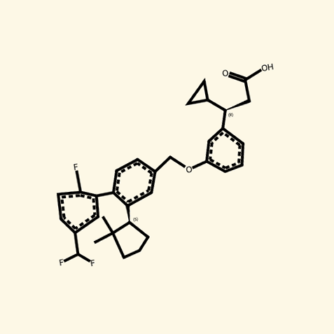 CC1(C)CCC[C@@H]1c1cc(COc2cccc([C@H](CC(=O)O)C3CC3)c2)ccc1-c1cc(C(F)F)ccc1F